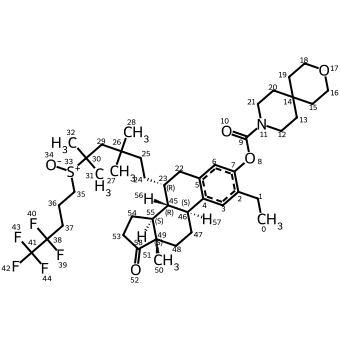 CCc1cc2c(cc1OC(=O)N1CCC3(CCOCC3)CC1)C[C@@H](CCC(C)(C)CC(C)(C)[S+]([O-])CCCC(F)(F)C(F)(F)F)[C@@H]1[C@@H]2CC[C@]2(C)C(=O)CC[C@@H]12